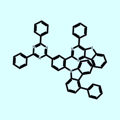 c1ccc(-c2nc(-c3ccccc3)nc(-c3ccc(-n4c5ccccc5c5c(-c6ccccc6)cccc54)c(-c4nc(-c5ccccc5)c5sc6ccccc6c5n4)c3)n2)cc1